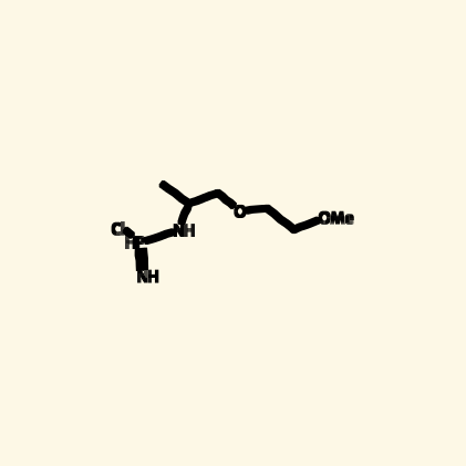 COCCOCC(C)N[PH](=N)Cl